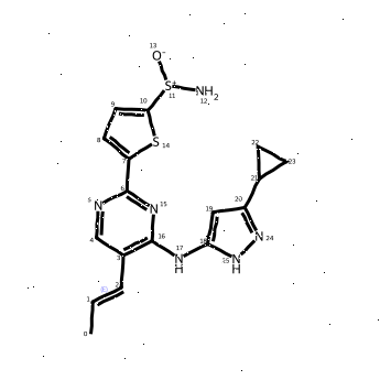 C/C=C/c1cnc(-c2ccc([S+](N)[O-])s2)nc1Nc1cc(C2CC2)n[nH]1